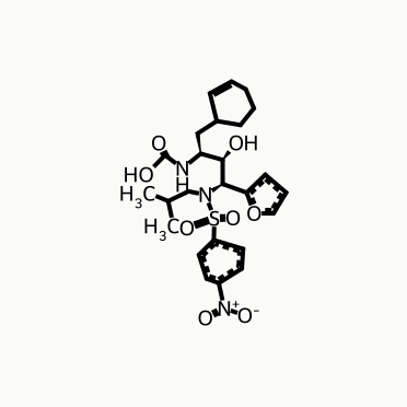 CC(C)CN([C@H](c1ccco1)[C@H](O)[C@H](CC1C=CCCC1)NC(=O)O)S(=O)(=O)c1ccc([N+](=O)[O-])cc1